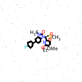 CCOc1nc([C@H](CS(C)(=O)=O)n2c(=O)n(C)c3cc(-c4ccc(F)cc4)ccc32)ccc1OC